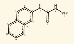 CCCNC(=O)Nc1ccc2ccccc2c1